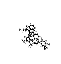 CCCc1c([C@@]2(C)CCCc3sc(N)c(C#N)c32)noc1-c1nc(O[C@@H](C)[C@@H]2[C@@H](OC)CCN2C)cc(N2CCNC3(CC3)C2)n1